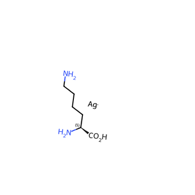 NCCCC[C@H](N)C(=O)O.[Ag]